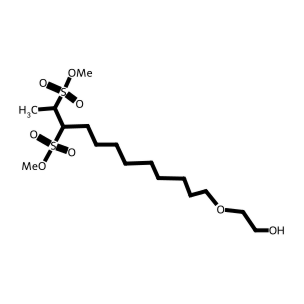 COS(=O)(=O)C(C)C(CCCCCCCCCOCCO)S(=O)(=O)OC